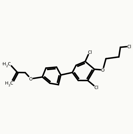 [CH2]C(=C)COc1ccc(-c2cc(Cl)c(OCCCCl)c(Cl)c2)cc1